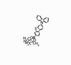 CC1(C)OB(c2ccc3c(c2)sc2cc(-n4c5ccccc5c5ccccc54)ccc23)OC1(C)C